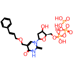 C=C1NC(=O)C(COC/C=C/c2ccccc2)=CN1[C@H]1CC(O)[C@@H](COP(=O)(O)OP(=O)(O)OP(=O)(O)O)O1